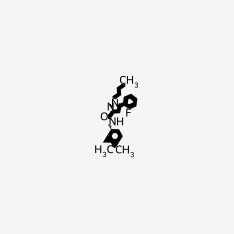 CCCCCN1N=C(C(=O)NC[C@@H]2CCC3C(C)(C)C34CC24)CC1c1ccccc1F